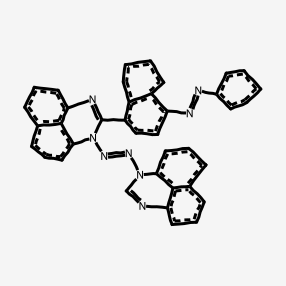 C1=Nc2cccc3cccc(c23)N1N=NN1C(c2ccc(N=Nc3ccccc3)c3ccccc23)=Nc2cccc3cccc1c23